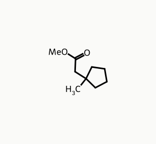 COC(=O)CC1(C)CCCC1